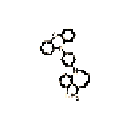 C=C1/C=C\C=C/N(c2ccc(N3c4ccccc4Sc4ccccc43)cc2)c2cccc(N)c21